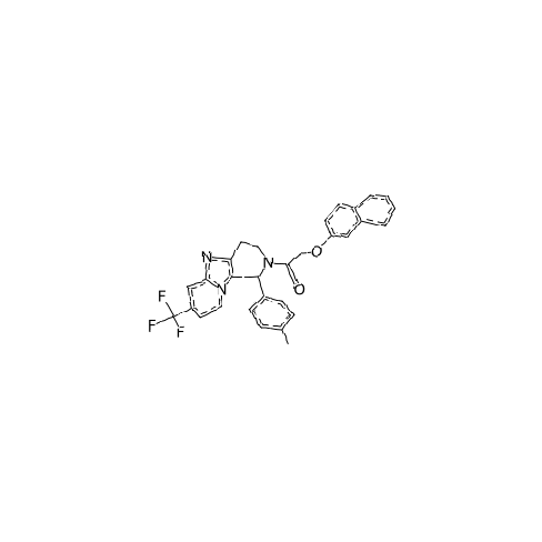 Cc1ccc(C2c3c(nc4cc(C(F)(F)F)ccn34)CCN2C(=O)COc2ccc3ccccc3c2)cc1